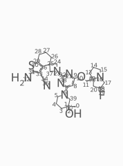 C[C@@]1(O)CCCN(c2cc(OC[C@@]34CCCN3C[C@H](F)C4)nc(N3CC4(CCCc5sc(N)c(C#N)c54)C3)n2)C1